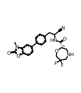 Cn1c(=O)oc2ccc(-c3ccc(CC(C#N)NC(=O)[C@@H]4CNCC(F)(F)CO4)cc3)cc21